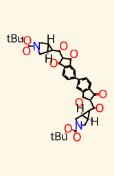 CC(C)(C)OC(=O)N1C[C@@H]2C(C(=O)C3C(=O)c4ccc(-c5ccc6c(c5)C(=O)C(C(=O)C5[C@H]7CN(C(=O)OC(C)(C)C)C[C@@H]57)C6=O)cc4C3=O)[C@@H]2C1